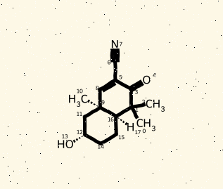 CC1(C)C(=O)C(C#N)=C[C@]2(C)C[C@@H](O)CC[C@H]12